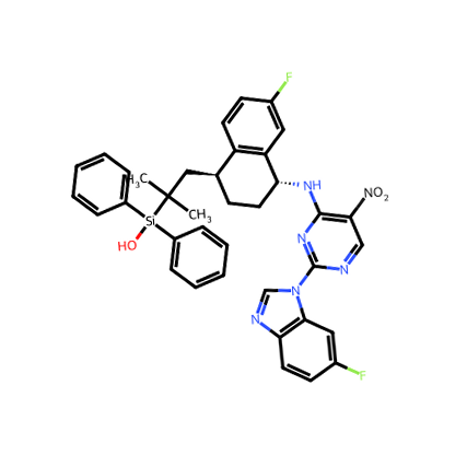 CC(C)(C[C@@H]1CC[C@@H](Nc2nc(-n3cnc4ccc(F)cc43)ncc2[N+](=O)[O-])c2cc(F)ccc21)[Si](O)(c1ccccc1)c1ccccc1